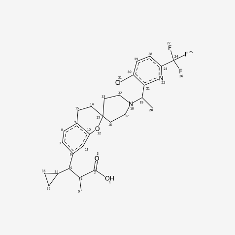 CC(C(=O)O)C(c1ccc2c(c1)OC1(CC2)CCN(C(C)c2nc(C(F)(F)F)ccc2Cl)CC1)C1CC1